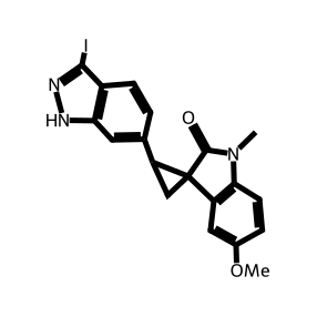 COc1ccc2c(c1)C1(CC1c1ccc3c(I)n[nH]c3c1)C(=O)N2C